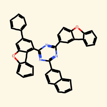 c1ccc(-c2cc(-c3nc(-c4ccc5ccccc5c4)nc(-c4ccc5oc6ccccc6c5c4)n3)c3c(c2)oc2ccccc23)cc1